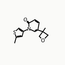 Cc1cc(-n2cc(C3(C)COC3)ccc2=O)cs1